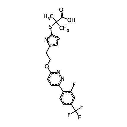 CC(C)(Sc1nc(CCOc2ccc(-c3ccc(C(F)(F)F)cc3F)nn2)cs1)C(=O)O